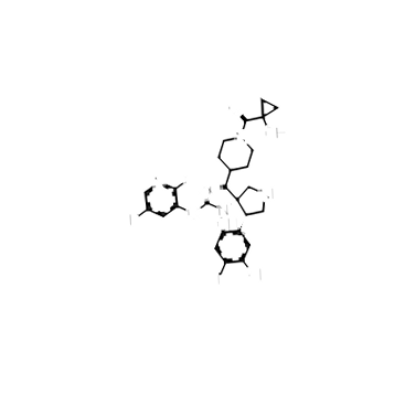 CN(C(=O)Oc1cc(F)cnc1Cl)[C@]1(C(=O)C2CCN(C(=O)C3(C)CC3)CC2)CNC[C@H]1c1ccc(Cl)c(Cl)c1